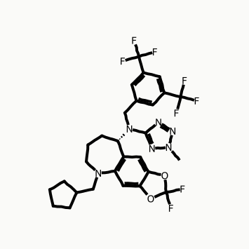 Cn1nnc(N(Cc2cc(C(F)(F)F)cc(C(F)(F)F)c2)[C@H]2CCCN(CC3CCCC3)c3cc4c(cc32)OC(F)(F)O4)n1